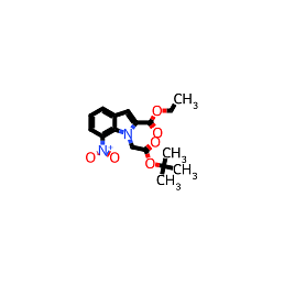 CCOC(=O)c1cc2cccc([N+](=O)[O-])c2n1CC(=O)OC(C)(C)C